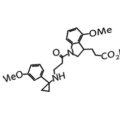 COc1cccc(C2(NCCC(=O)N3CC(CCC(=O)O)c4c(OC)cccc43)CC2)c1